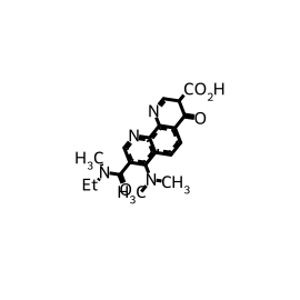 CCN(C)C(=O)c1cnc2c3c(ccc2c1N(C)C)C(=O)C(C(=O)O)C=N3